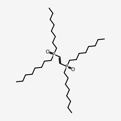 CCCCCCCCP(=O)(C=CP(=O)(CCCCCCCC)CCCCCCCC)CCCCCCCC